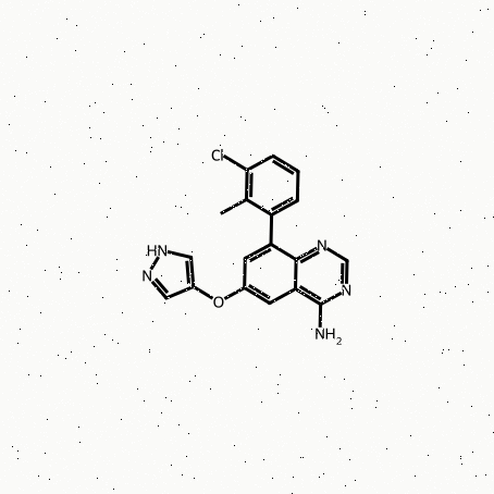 Cc1c(Cl)cccc1-c1cc(Oc2cn[nH]c2)cc2c(N)ncnc12